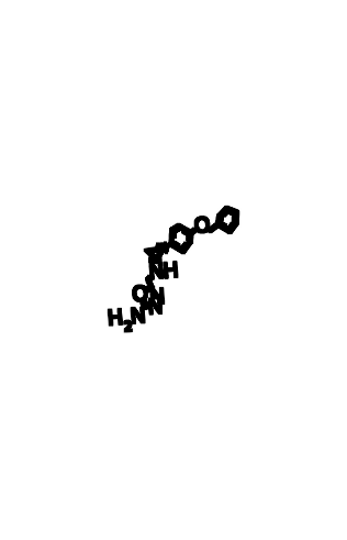 Nc1nnc(CN[C@@H]2C[C@H]2c2ccc(OCc3ccccc3)cc2)o1